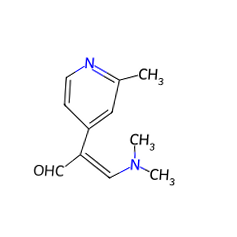 Cc1cc(/C(C=O)=C\N(C)C)ccn1